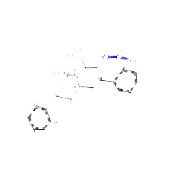 CC(CN=[N+]=[N-])N(N)C(CCc1ccccc1)CCc1ccccc1